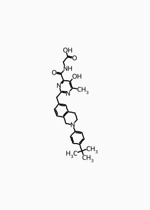 Cc1nc(Cc2ccc3c(c2)CCN(c2ccc(C(C)(C)C)cc2)C3)nc(C(=O)NCC(=O)O)c1O